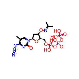 CC(C)=NOC1C[C@H](n2cc(C)c(N=[N+]=[N-])nc2=O)O[C@@H]1COP(=O)(O)OP(=O)(O)OP(=O)(O)O